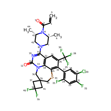 C=CC(=O)N1[C@H](C)CN(c2nc(=O)n3c4c(c(-c5cc(Cl)c(F)cc5F)c(C(F)(F)F)cc24)SCC2(C3)CC(F)(F)C2)C[C@@H]1C